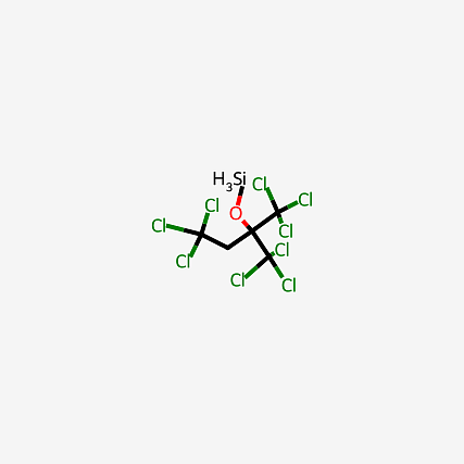 [SiH3]OC(CC(Cl)(Cl)Cl)(C(Cl)(Cl)Cl)C(Cl)(Cl)Cl